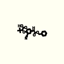 CC(C)(C)C(Oc1ccc(NC(=O)OCc2ccccc2)cc1C#N)C(=O)O